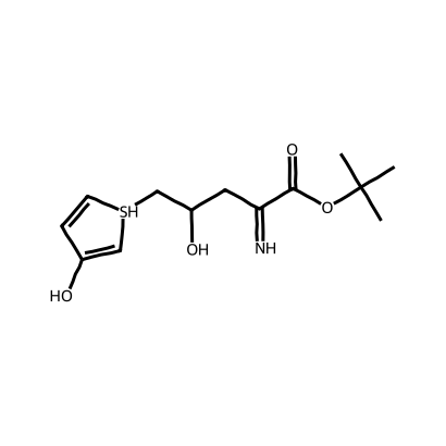 CC(C)(C)OC(=O)C(=N)CC(O)C[SH]1C=CC(O)=C1